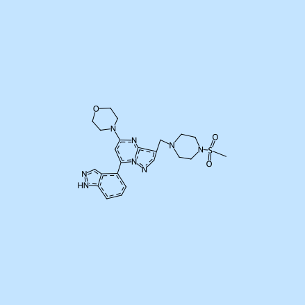 CS(=O)(=O)N1CCN(Cc2cnn3c(-c4cccc5[nH]ncc45)cc(N4CCOCC4)nc23)CC1